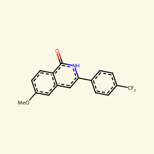 COc1ccc2c(=O)[nH]c(-c3ccc(C(F)(F)F)cc3)cc2c1